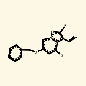 O=Cc1c(F)nn2cc(OCc3ccccc3)cc(Br)c12